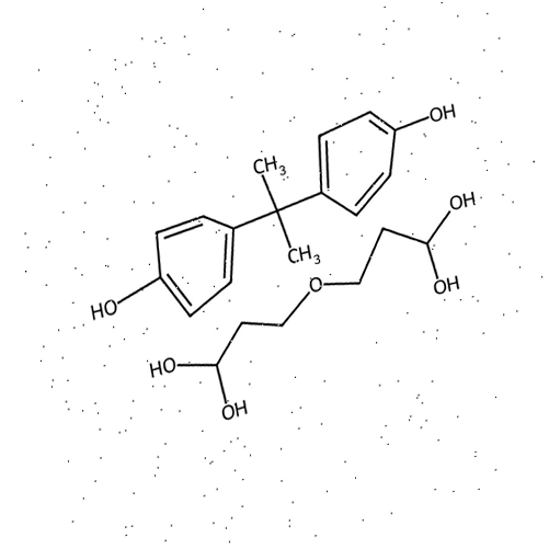 CC(C)(c1ccc(O)cc1)c1ccc(O)cc1.OC(O)CCOCCC(O)O